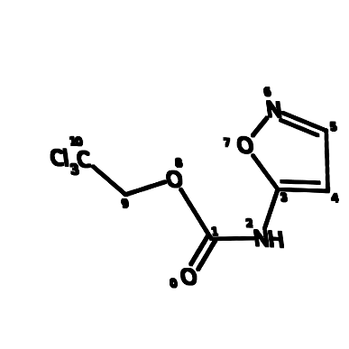 O=C(Nc1ccno1)OCC(Cl)(Cl)Cl